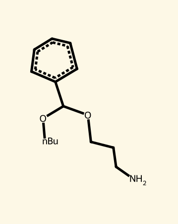 CCCCOC(OCCCN)c1ccccc1